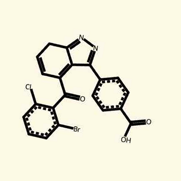 O=C(O)c1ccc(C2=NN=C3CC=CC(C(=O)c4c(Cl)cccc4Br)=C32)cc1